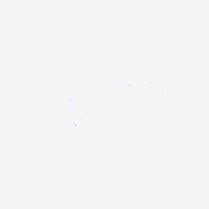 CC(C)c1cnnc(Nc2ccc3ncc(/C(C=N)=C/N[C@H]4CCN(C)C4)cc3n2)c1